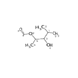 CC(C)C(O)C(C)OC=O